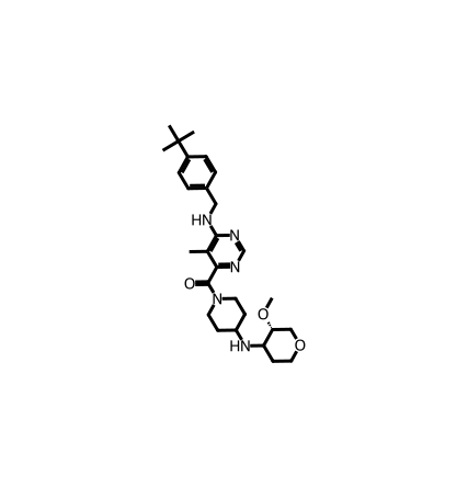 CO[C@@H]1COCCC1NC1CCN(C(=O)c2ncnc(NCc3ccc(C(C)(C)C)cc3)c2C)CC1